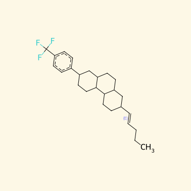 CCC/C=C/C1CCC2C(CCC3CC(c4ccc(C(F)(F)F)cc4)CCC32)C1